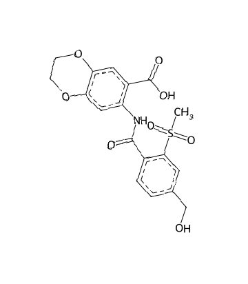 CS(=O)(=O)c1cc(CO)ccc1C(=O)Nc1cc2c(cc1C(=O)O)OCCO2